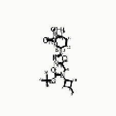 CC1CC(N(Cc2nnc([C@@H]3CC[C@@H]4CN3C(=O)N4O)o2)C(=O)OC(C)(C)C)C1